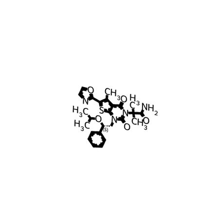 Cc1c(-c2ncco2)sc2c1c(=O)n(C(C)(C)C(N)=O)c(=O)n2C[C@@H](OC(C)C)c1ccccc1